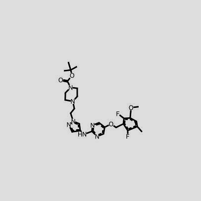 COc1cc(C)c(F)c(COc2cnc(Nc3cnn(CCN4CCN(C(=O)OC(C)(C)C)CC4)c3)nc2)c1F